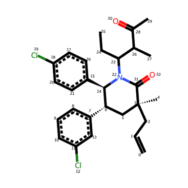 C=CC[C@@]1(C)C[C@H](c2cccc(Cl)c2)[C@@H](c2ccc(Cl)cc2)N(C(CC)C(C)C(C)=O)C1=O